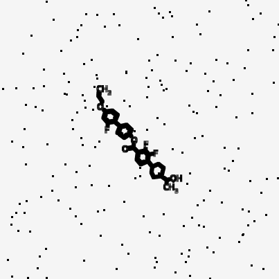 C=CCOc1ccc(-c2ccc(OC(=O)c3ccc(C4CCC(C(C)O)CC4)c(F)c3F)cc2)c(F)c1